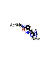 CNc1nc2[nH]c(-c3cccc(C(=O)NCCNC(C)=O)c3)cc2c2c1ncn2C